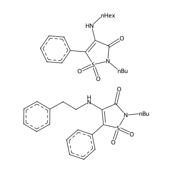 CCCCCCNC1=C(c2ccccc2)S(=O)(=O)N(CCCC)C1=O.CCCCN1C(=O)C(NCCc2ccccc2)=C(c2ccccc2)S1(=O)=O